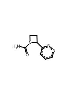 NC(=O)N1CCC1c1cccnn1